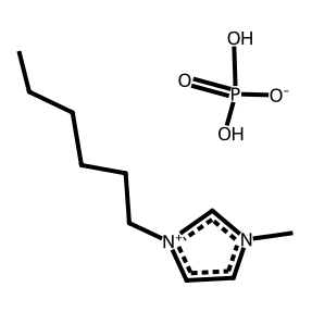 CCCCCC[n+]1ccn(C)c1.O=P([O-])(O)O